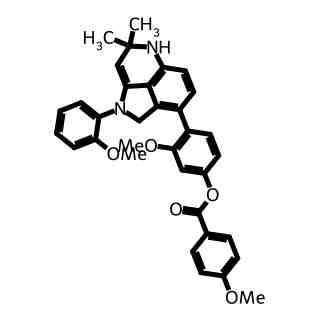 COc1ccc(C(=O)Oc2ccc(-c3ccc4c5c3CN(c3ccccc3OC)C5=CC(C)(C)N4)c(OC)c2)cc1